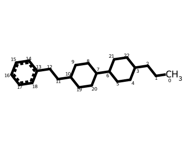 CCCC1CCC(C2CCC(CCc3ccccc3)CC2)CC1